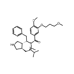 COCCCOc1cc(C(=O)N(C(C)C)C(Cc2ccccc2)[C@H]2CNC[C@@H]2CNC(C)C)ccc1OC